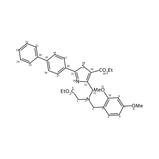 CCOC(=O)CN(Cc1ccc(OC)cc1OC)Cc1nc(-c2ccc(-c3ccccc3)cc2)sc1C(=O)OCC